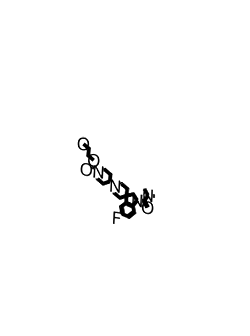 COCCOC(=O)N1CCC(N2CCC3(CC2)CN(C(=O)N(C)C)c2ccc(F)cc23)CC1